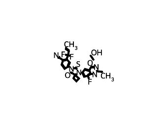 C/C=C/C(F)(F)c1cc(N2C(=O)C3(CCC3)N(c3cc(F)c4nc(CC)nc(OCCO)c4c3)C2=S)ccc1C#N